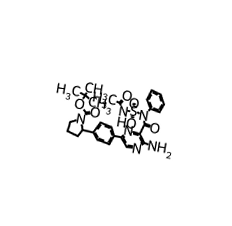 CC(=O)NS(=O)(=O)N(C(=O)c1nc(-c2ccc(C3CCCN3C(=O)OC(C)(C)C)cc2)cnc1N)c1ccccc1